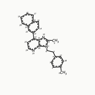 Cc1ccc(CCn2c(C)nc3c(-c4ccc5ccccc5c4)ccnc32)cc1